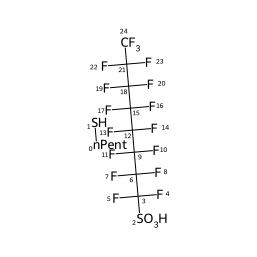 CCCCCS.O=S(=O)(O)C(F)(F)C(F)(F)C(F)(F)C(F)(F)C(F)(F)C(F)(F)C(F)(F)C(F)(F)F